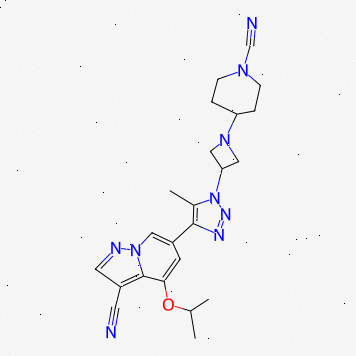 Cc1c(-c2cc(OC(C)C)c3c(C#N)cnn3c2)nnn1C1CN(C2CCN(C#N)CC2)C1